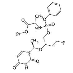 CC(C)OC(=O)[C@H](C)NP(=O)(OC[C@H](CCF)O[C@H](C)n1ccc(=O)[nH]c1=O)Oc1ccccc1